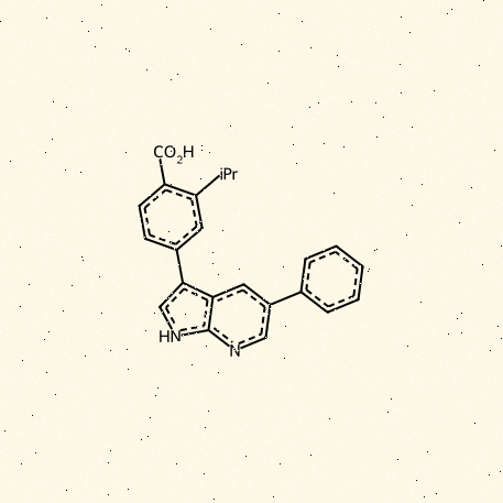 CC(C)c1cc(-c2c[nH]c3ncc(-c4ccccc4)cc23)ccc1C(=O)O